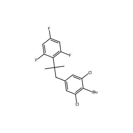 CC(C)(C)c1c(Cl)cc(CC(C)(C)c2c(F)cc(F)cc2F)cc1Cl